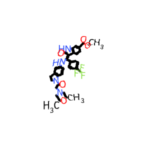 COC(=O)c1ccc2c(c1)NC(=O)/C2=C(\Nc1ccc2c(c1)CCN2C(=O)CN1CC(C)OC(C)C1)c1ccc(C(F)(F)F)cc1